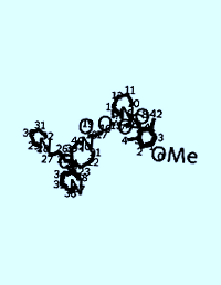 COc1cc(C)c(S(=O)(=O)N2CCCC[C@H]2COCC(=O)N2CCCC(OCCN3CCCC3)(c3cccnc3)CC2)c(C)c1